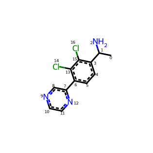 CC(N)c1ccc(-c2cnccn2)c(Cl)c1Cl